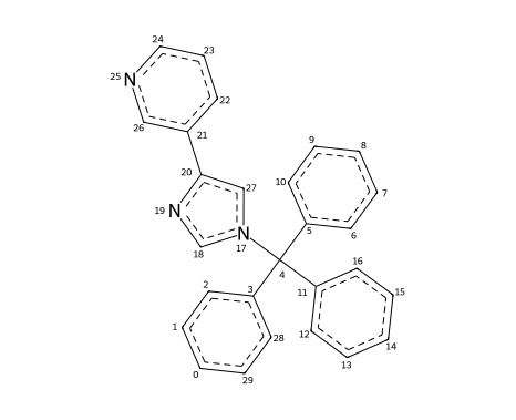 c1ccc(C(c2ccccc2)(c2ccccc2)n2cnc(-c3cccnc3)c2)cc1